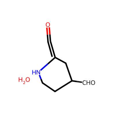 O.O=C=C1CC(C=O)CCN1